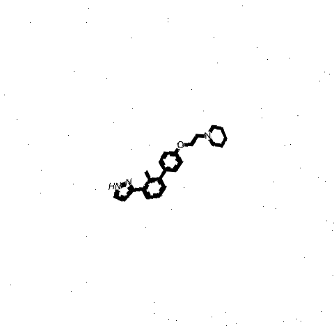 Cc1c(-c2ccc(OCCN3CCCCC3)cc2)c[c]cc1-c1cc[nH]n1